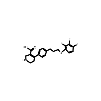 O=C(O)C1=C(c2ccc(CCCOc3ccc(F)c(F)c3F)cc2)CCNC1